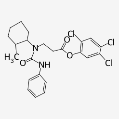 CC1CCCCC1N(CCC(=O)Oc1cc(Cl)c(Cl)cc1Cl)C(=O)Nc1ccccc1